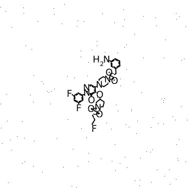 Nc1cccc(CS(=O)(=O)N2CCN(c3cnn(-c4cc(F)cc(F)c4)c(=O)c3OC3CCN(S(=O)(=O)CCCF)C3)CC2)c1